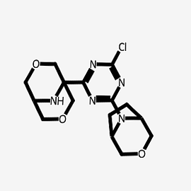 Clc1nc(N2C3CCC2COC3)nc(C23COCC(COC2)N3)n1